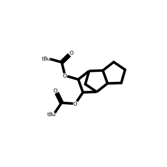 CC(C)(C)C(=O)OC1C2CC(C3CCCC32)C1OC(=O)C(C)(C)C